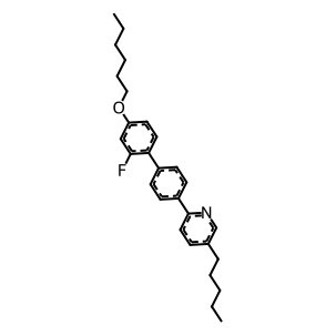 CCCCCCOc1ccc(-c2ccc(-c3ccc(CCCCC)cn3)cc2)c(F)c1